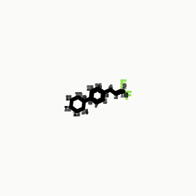 FC(F)=CCc1ccc(C2CCCCC2)cc1